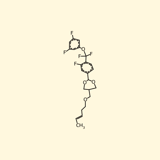 C/C=C/CCOCC1COC(c2ccc(C(F)(F)Oc3cc(F)cc(F)c3)c(F)c2)OC1